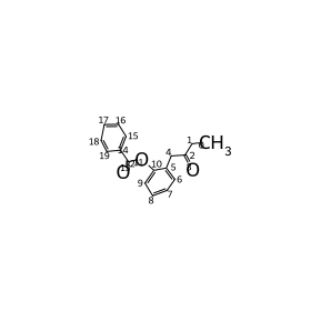 CCC(=O)Cc1ccccc1OC(=O)c1ccccc1